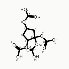 O=C(O)OC1CC(OC(=O)O)C(OC(=O)O)(OC(=O)O)C1